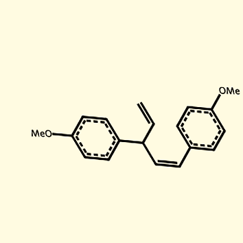 C=CC(/C=C\c1ccc(OC)cc1)c1ccc(OC)cc1